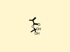 C=C(C)C(=O)OC(C)(O)O